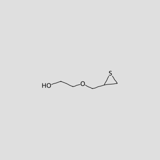 OCCOCC1CS1